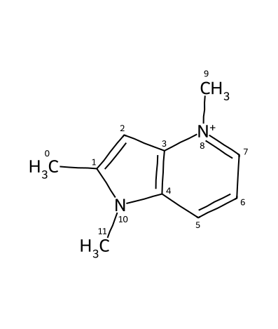 Cc1cc2c(ccc[n+]2C)n1C